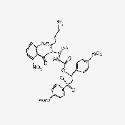 COc1ccc(S(=O)(=O)CC(OC(=O)NN(O)[C@@H](CCCCN)C(=O)c2c([N+](=O)[O-])cccc2[N+](=O)[O-])c2ccc([N+](=O)[O-])cc2)cc1